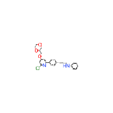 Clc1cc(OCC2COCCO2)cc(-c2ccc(C#CCNc3ccccc3)cc2)n1